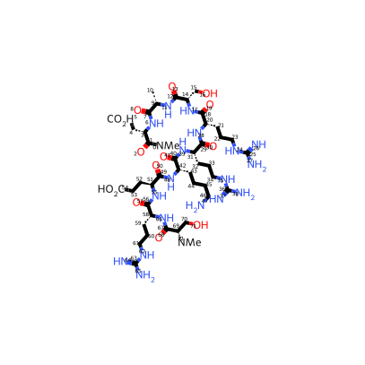 CNC(=O)[C@H](CC(=O)O)NC(=O)[C@H](C)NC(=O)[C@H](CO)NC(=O)[C@H](CCCNC(=N)N)NC(=O)[C@H](CCCNC(=N)N)NC(=O)[C@H](CCCCN)NC(=O)[C@H](CCC(=O)O)NC(=O)[C@@H](CCCNC(=N)N)NC(=O)[C@H](CO)NC